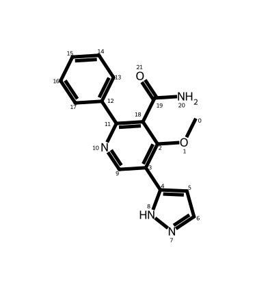 COc1c(-c2ccn[nH]2)cnc(-c2ccccc2)c1C(N)=O